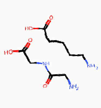 NCC(=O)NCC(=O)O.NCCCCC(=O)O